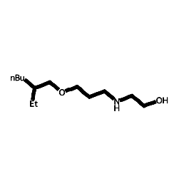 CCCCC(CC)COCCCNCCO